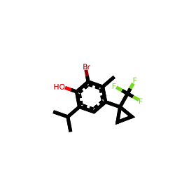 Cc1c(C2(C(F)(F)F)CC2)cc(C(C)C)c(O)c1Br